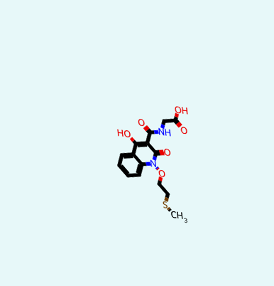 CSCCOn1c(=O)c(C(=O)NCC(=O)O)c(O)c2ccccc21